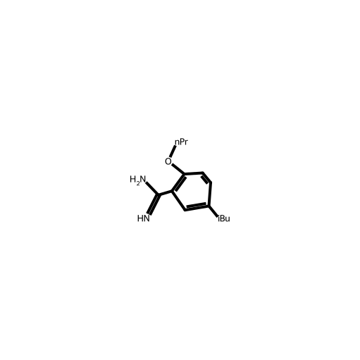 CCCOc1ccc(C(C)CC)cc1C(=N)N